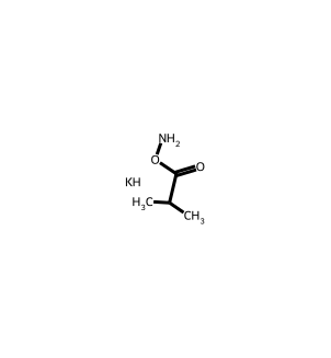 CC(C)C(=O)ON.[KH]